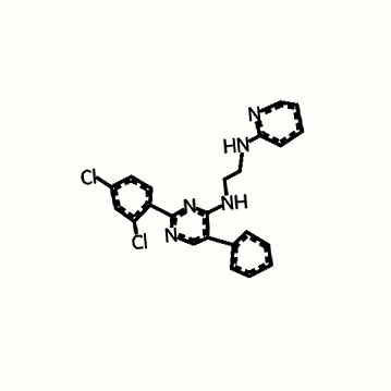 Clc1ccc(-c2ncc(-c3ccccc3)c(NCCNc3ccccn3)n2)c(Cl)c1